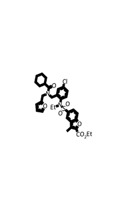 CCOC(=O)c1oc2ccc(S(=O)(=O)N(CC)c3ccc(Cl)cc3CN(Cc3ccco3)C(=O)C3CCCCC3)cc2c1C